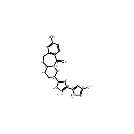 N#Cc1ccc2c(c1)CCC1CCC(c3nc(-c4cc(Cl)c[nH]4)no3)CN1C2=O